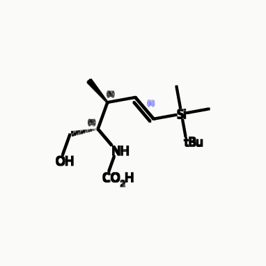 C[C@@H](/C=C/[Si](C)(C)C(C)(C)C)[C@@H](CO)NC(=O)O